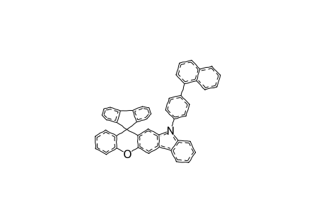 c1ccc2c(c1)Oc1cc3c4ccccc4n(-c4ccc(-c5cccc6ccccc56)cc4)c3cc1C21c2ccccc2-c2ccccc21